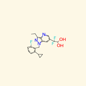 CCc1nn(Cc2c(F)cccc2C2CC2)c2cc(C(F)(F)C(O)O)cnc12